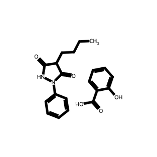 CCCCC1C(=O)NN(c2ccccc2)C1=O.O=C(O)c1ccccc1O